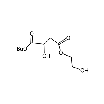 CC(C)COC(=O)C(O)CC(=O)OCCO